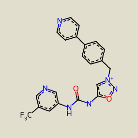 O=C([N-]c1c[n+](Cc2ccc(-c3ccncc3)cc2)no1)Nc1cncc(C(F)(F)F)c1